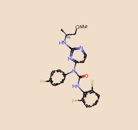 COC[C@H](C)Nc1nccc(N(C(=O)Nc2c(F)cccc2F)c2ccc(F)cc2)n1